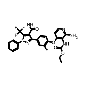 CCOC(=O)Nc1c(Oc2ccc(-c3nn(-c4ccccc4)c(C(F)(F)F)c3C(N)=O)cc2F)ccnc1N